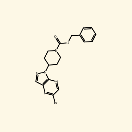 O=C(OCc1ccccc1)N1CCC(n2ncc3nc(Br)cnc32)CC1